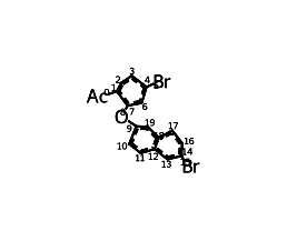 CC(=O)c1ccc(Br)cc1Oc1ccc2cc(Br)ccc2c1